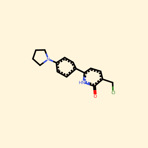 O=c1[nH]c(-c2ccc(N3CCCC3)cc2)ccc1CCl